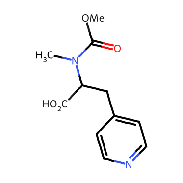 COC(=O)N(C)C(Cc1ccncc1)C(=O)O